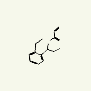 C=CC(=O)NC(CC)c1ccccc1CC